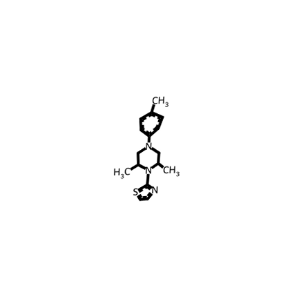 Cc1ccc(N2CC(C)N(c3nccs3)C(C)C2)cc1